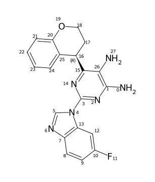 Nc1nc(-n2cnc3ccc(F)cc32)nc([C@@H]2CCOc3ccccc32)c1N